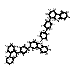 c1ccc2c(c1)cc(-c1ccc(-c3ccc4c(c3)c3ccccc3n4-c3ccc(-c4ccc(-c5cccc6c5sc5ccccc56)cc4)cc3)cc1)c1ccccc12